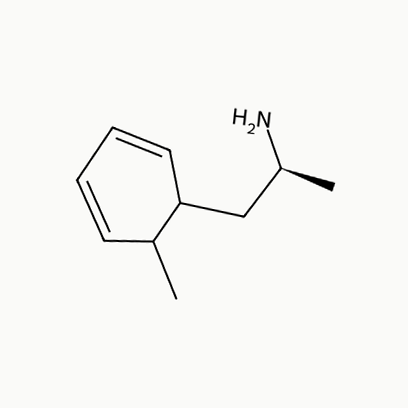 CC1C=CC=CC1C[C@H](C)N